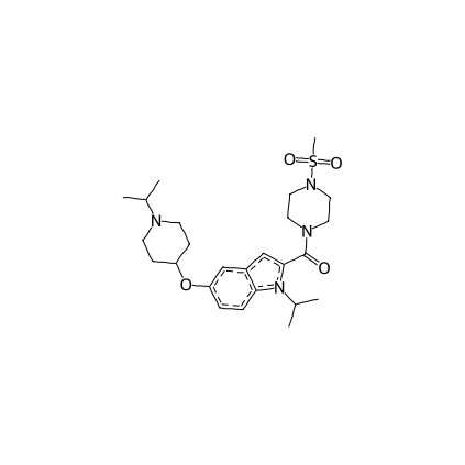 CC(C)N1CCC(Oc2ccc3c(c2)cc(C(=O)N2CCN(S(C)(=O)=O)CC2)n3C(C)C)CC1